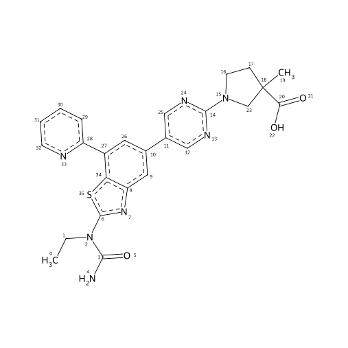 CCN(C(N)=O)c1nc2cc(-c3cnc(N4CCC(C)(C(=O)O)C4)nc3)cc(-c3ccccn3)c2s1